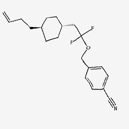 C=CCC[C@H]1CC[C@H](CC(F)(F)OCc2ccc(C#N)cc2)CC1